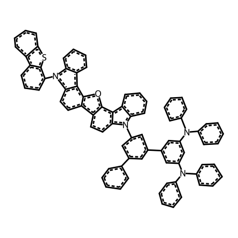 c1ccc(-c2cc(-c3cc(N(c4ccccc4)c4ccccc4)cc(N(c4ccccc4)c4ccccc4)c3)cc(-n3c4ccccc4c4c5oc6c(ccc7c6c6ccccc6n7-c6cccc7c6sc6ccccc67)c5ccc43)c2)cc1